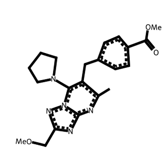 COCc1nc2nc(C)c(Cc3ccc(C(=O)OC)cc3)c(N3CCCC3)n2n1